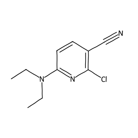 CCN(CC)c1ccc(C#N)c(Cl)n1